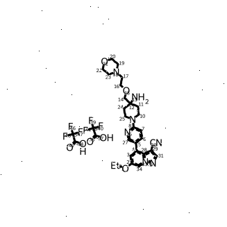 CCOc1cc(-c2ccc(N3CCC(N)(COCCN4CCOCC4)CC3)nc2)c2c(C#N)cnn2c1.O=C(O)C(F)(F)F.O=C(O)C(F)(F)F